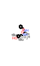 CC(C)C[C@H](NOCc1ccccc1)C(=O)N[C@@H](Cc1cc(C(C)(C)C)c(O)c(C(C)(C)C)c1)C(=O)O